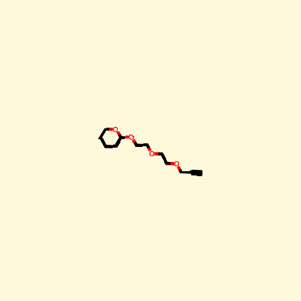 C#CCOCCOCCOC1CCCCO1